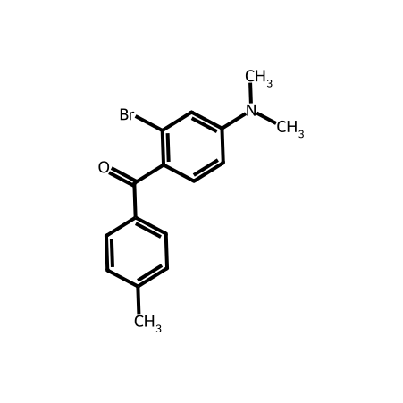 Cc1ccc(C(=O)c2ccc(N(C)C)cc2Br)cc1